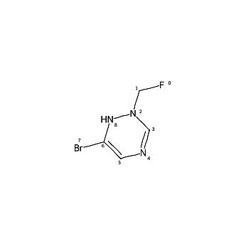 FCN1C=NC=C(Br)N1